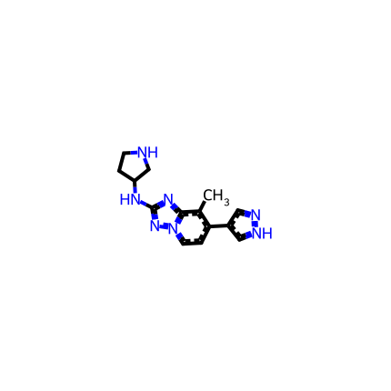 Cc1c(-c2cn[nH]c2)ccn2nc(NC3CCNC3)nc12